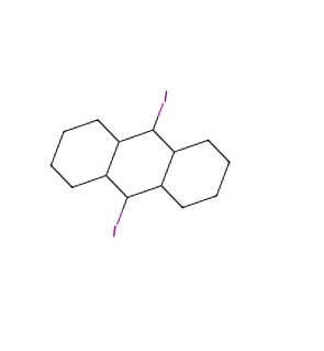 IC1C2CCCCC2C(I)C2CCCCC12